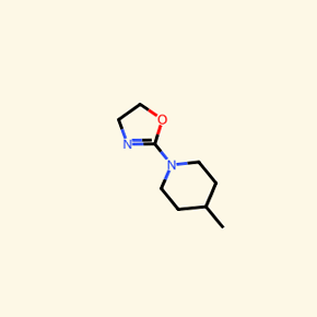 CC1CCN(C2=NCCO2)CC1